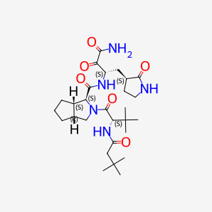 CC(C)(C)CC(=O)N[C@H](C(=O)N1C[C@@H]2CCC[C@@H]2[C@H]1C(=O)N[C@@H](C[C@@H]1CCNC1=O)C(=O)C(N)=O)C(C)(C)C